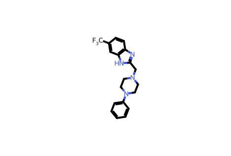 FC(F)(F)c1ccc2nc(CN3CCN(c4ccccc4)CC3)[nH]c2c1